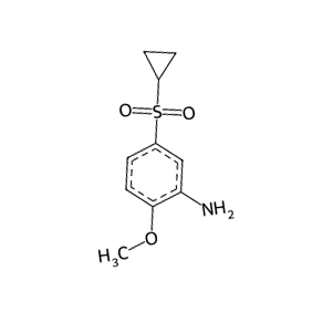 COc1ccc(S(=O)(=O)C2CC2)cc1N